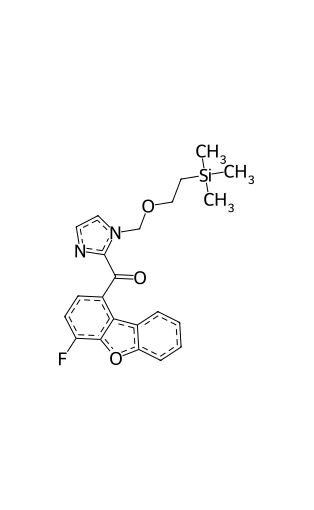 C[Si](C)(C)CCOCn1ccnc1C(=O)c1ccc(F)c2oc3ccccc3c12